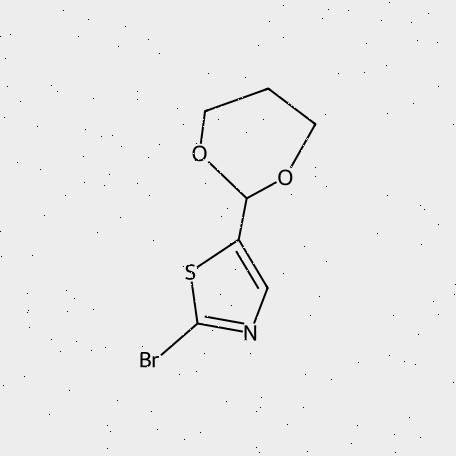 Brc1ncc(C2OCCCO2)s1